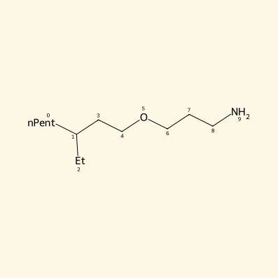 CCCCCC(CC)CCOCCCN